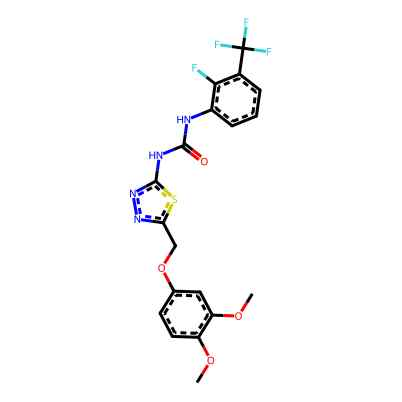 COc1ccc(OCc2nnc(NC(=O)Nc3cccc(C(F)(F)F)c3F)s2)cc1OC